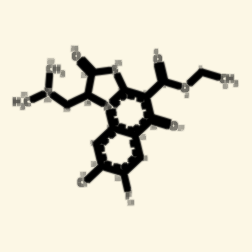 CCOC(=O)c1c2n(c3cc(Cl)c(F)cc3c1=O)C(CN(C)C)C(=O)S2